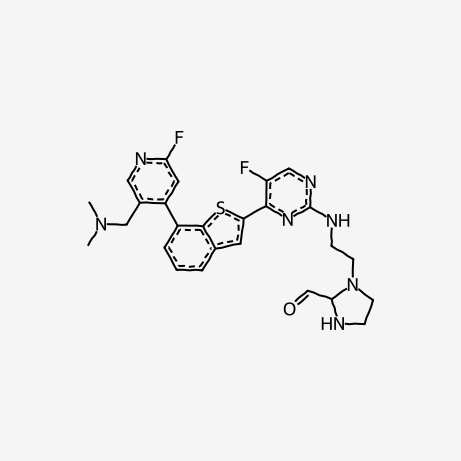 CN(C)Cc1cnc(F)cc1-c1cccc2cc(-c3nc(NCCN4CCNC4C=O)ncc3F)sc12